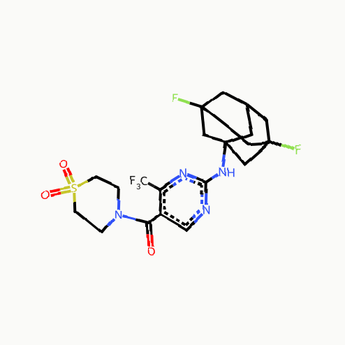 O=C(c1cnc(NC23CC4CC(F)(CC(F)(C4)C2)C3)nc1C(F)(F)F)N1CCS(=O)(=O)CC1